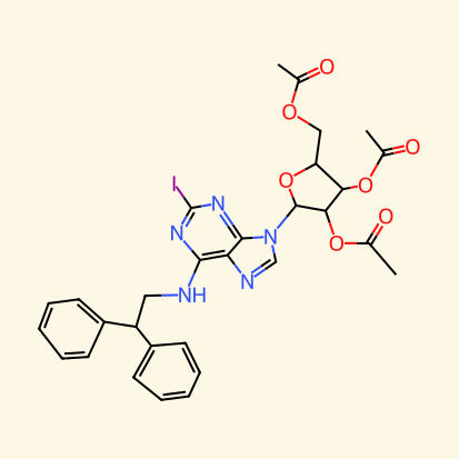 CC(=O)OCC1OC(n2cnc3c(NCC(c4ccccc4)c4ccccc4)nc(I)nc32)C(OC(C)=O)C1OC(C)=O